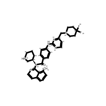 Cc1cccc2ccnc(N(C(=O)c3ccc(Nc4nccc(CN5CCC(F)(F)CC5)n4)cc3)[C@@H]3CCCNC3)c12